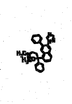 CN(C)CCC(O)(c1ccccc1)c1cccc2cc(-n3cncn3)c(-c3ccccc3)cc12